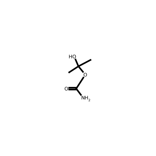 CC(C)(O)OC(N)=O